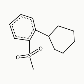 CS(=O)(=O)c1ccccc1C1CCCCC1